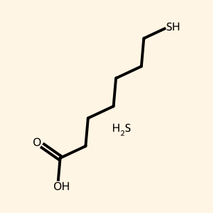 O=C(O)CCCCCCS.S